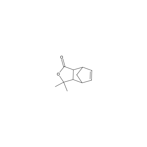 CC1(C)OC(=O)C2C3C=CC(C3)C21